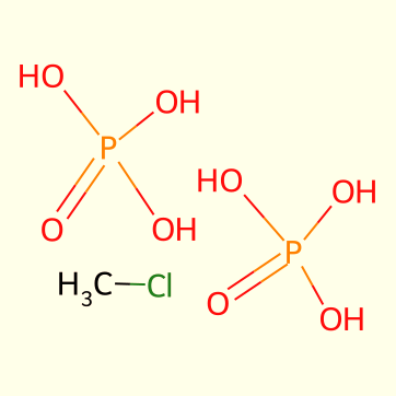 CCl.O=P(O)(O)O.O=P(O)(O)O